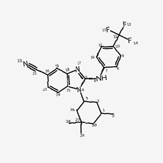 CC1CC(n2c(Nc3ccc(C(F)(F)F)cc3)nc3cc(C#N)ccc32)CC(C)(C)C1